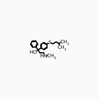 CNCCC(O)(c1ccccc1)c1ccc(SCCC(C)C)cc1